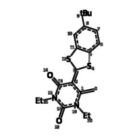 C=c1/c(=C2\Sc3ccc(C(C)(C)C)cc3S2)c(=O)n(CC)c(=O)n1CC